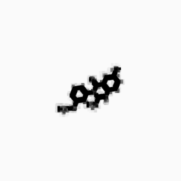 COc1cccc(-n2c(N)nc3ccc(Br)cc3c2=O)c1